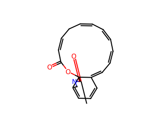 O=C1C=CCC=CC=CC=CC=C2C=CC=C3C=NC(=O)C23O1